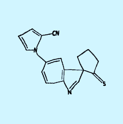 N#Cc1cccn1-c1ccc2c(c1)C1(C=N2)CCCC1=S